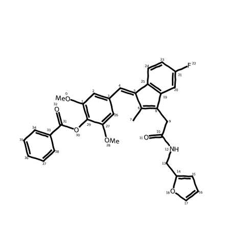 COc1cc(C=C2C(C)=C(CC(=O)NCc3ccco3)c3cc(F)ccc32)cc(OC)c1OC(=O)c1ccccc1